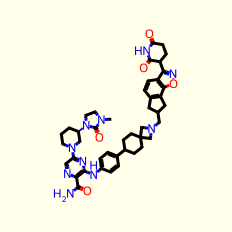 CN1CCN([C@@H]2CCCN(c3cnc(C(N)=O)c(Nc4ccc(C5CCC6(CC5)CN(CC5Cc7ccc8c(C9CCC(=O)NC9=O)noc8c7C5)C6)cc4)n3)C2)C1=O